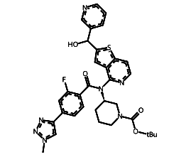 Cn1cc(-c2ccc(C(=O)N(c3nccc4sc(C(O)c5cccnc5)cc34)[C@@H]3CCCN(C(=O)OC(C)(C)C)C3)c(F)c2)nn1